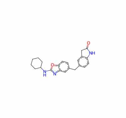 O=C1Cc2cc(Cc3ccc4oc(NC5CCCCC5)nc4c3)ccc2N1